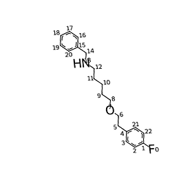 Fc1ccc(CCOCCCCCNCc2ccccc2)cc1